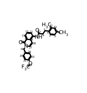 Cc1ccc(CCC(=O)Nc2cccc3c(=O)n(Cc4ccc(OC(F)(F)F)cc4)ccc23)c(C)c1